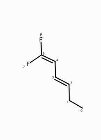 CCC=CC=C(F)F